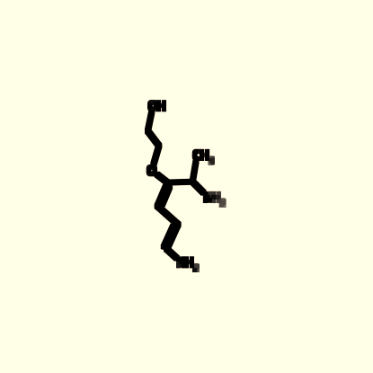 CC(N)/C(=C\C=C\N)OCCO